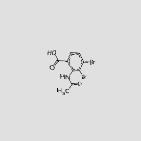 CC(=O)Nc1c(C(=O)O)ccc(Br)c1Br